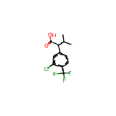 CC(C)C(C(=O)O)c1ccc(C(F)(F)F)c(Cl)c1